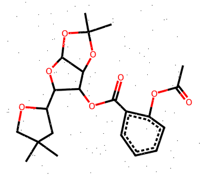 CC(=O)Oc1ccccc1C(=O)OC1C(C2CC(C)(C)CO2)OC2OC(C)(C)OC21